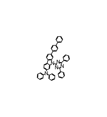 c1ccc(-c2ccc(-c3ccc4c5ccc(N(c6ccccc6)c6ccccc6)cc5n(-c5nc(-c6ccccc6)nc(-c6ccccc6)n5)c4c3)cc2)cc1